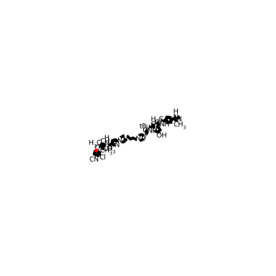 Cc1nc[nH]c1-c1ccc([C@H](C)NC(=O)C2C[C@@H](O)CN2C(=O)C(NC(=O)CN2CCN(CCCCN3CCN(c4ccc(C(=O)N[C@H]5C(C)(C)[C@H](Oc6ccc(C#N)c(Cl)c6)C5(C)C)cn4)CC3)CC2)C(C)(C)C)cc1